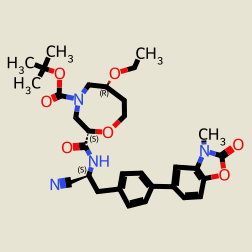 CCO[C@@H]1CCO[C@H](C(=O)N[C@H](C#N)Cc2ccc(-c3ccc4oc(=O)n(C)c4c3)cc2)CN(C(=O)OC(C)(C)C)C1